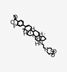 COC(=O)c1ccc(C2=CC[C@]3(C)[C@H]4CC[C@@H]5[C@H]6[C@H](C)CC[C@]6(NCCN6CCS(=O)(=O)CC6)CC[C@@]5(C)[C@]4(C)CC[C@H]3C2(C)C)cc1F